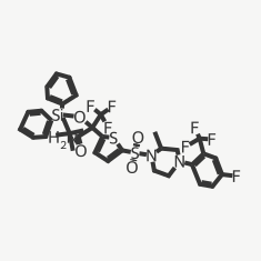 CC1CN(c2ccc(F)cc2C(F)(F)F)CCN1S(=O)(=O)c1ccc(C(O[Si](c2ccccc2)(c2ccccc2)C(C)(C)C)(C(N)=O)C(F)(F)F)s1